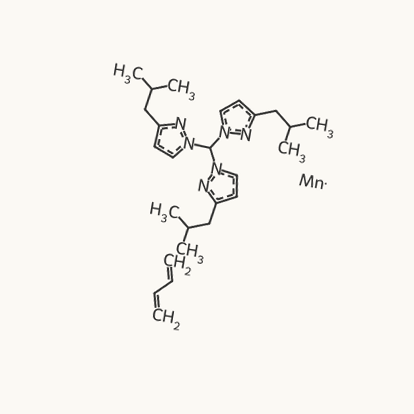 C=CC=C.CC(C)Cc1ccn(C(n2ccc(CC(C)C)n2)n2ccc(CC(C)C)n2)n1.[Mn]